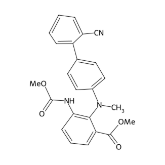 COC(=O)Nc1cccc(C(=O)OC)c1N(C)c1ccc(-c2ccccc2C#N)cc1